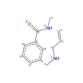 C=CCNC.CNC(=O)c1ccccc1